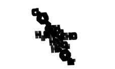 CC(C)(CCc1ccc(Cl)cc1)NC(=O)N(C=O)NC(=O)Nc1ccc(Br)cc1F